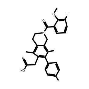 COc1c(F)cccc1C(=O)N1CCc2c(C)c(CC(=O)O)c(-c3ccc(C)cc3)c(C)c2C1